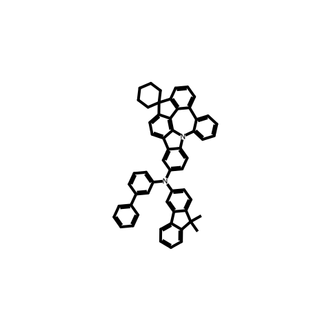 CC1(C)c2ccccc2-c2cc(N(c3cccc(-c4ccccc4)c3)c3ccc4c(c3)c3ccc5c6c3n4-c3ccccc3-c3cccc(c3-6)C53CCCCC3)ccc21